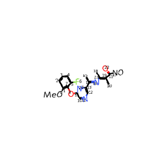 COc1cccc(F)c1Oc1cncc(/C(C)=N/C(C)=C(\C)C(=O)N=O)n1